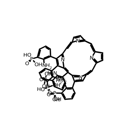 Nc1c(C2=CC3=CC4=NC(=CC5=NC(=CC6=NC(=C(c7cccc(P(=O)(O)O)c7N)C2=N3)C(c2cccc(P(=O)(O)O)c2N)=C6c2cccc(P(=O)(O)O)c2N)C=C5)C=C4)cccc1P(=O)(O)O